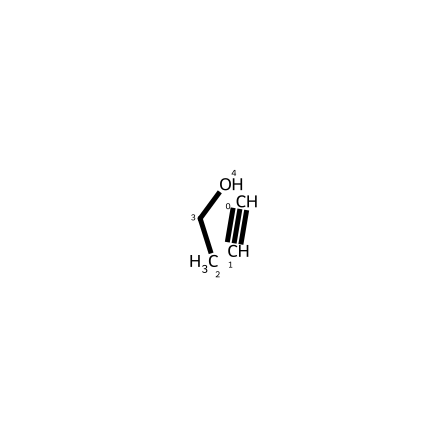 C#C.CCO